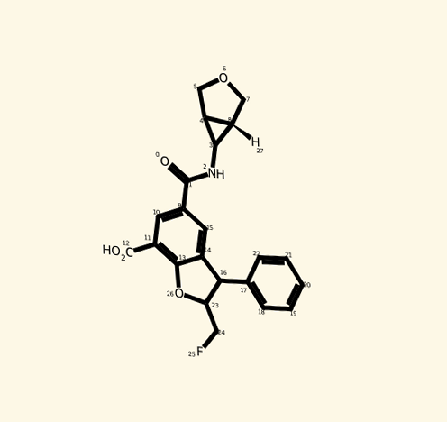 O=C(NC1C2COC[C@@H]21)c1cc(C(=O)O)c2c(c1)C(c1ccccc1)C(CF)O2